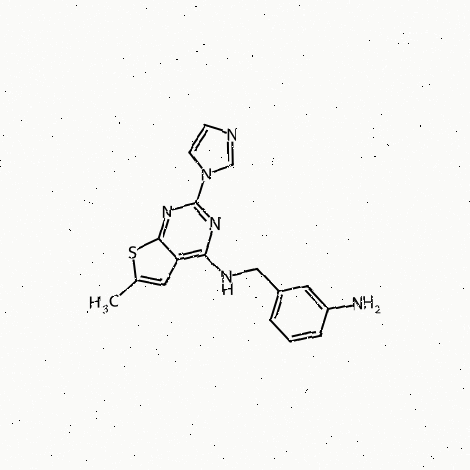 Cc1cc2c(NCc3cccc(N)c3)nc(-n3ccnc3)nc2s1